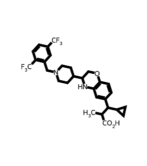 CC(C(=O)O)C(c1ccc2c(c1)NC(C1CCN(Cc3cc(C(F)(F)F)ccc3C(F)(F)F)CC1)CO2)C1CC1